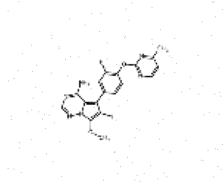 COc1c(I)c(-c2ccc(Oc3nccc(C)n3)c(F)c2)c2c(N)ncnn12